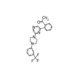 CC(=O)c1ccccc1-c1cncc(N2CCN(c3cccc(C(F)(F)F)c3)CC2)n1